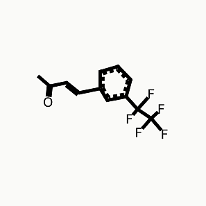 CC(=O)C=Cc1cccc(C(F)(F)C(F)(F)F)c1